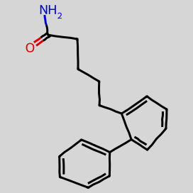 NC(=O)CCCCc1ccccc1-c1ccccc1